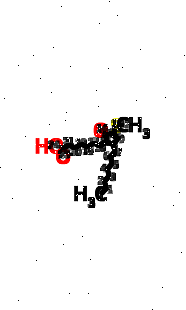 CCCCCCC=CC1C=C(SC)C(=O)C1=CCCCCCC(=O)O